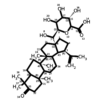 C=C(C)[C@@H]1CC[C@]2(C(O)[C@@H]3OC(C(=O)O)[C@@H](O)C(O)C3O)CC[C@]3(C)C(CCC4[C@@]5(C)CCC(=O)C(C)(C)C5CC[C@]43C)C12